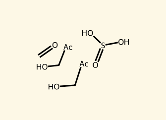 C=O.CC(=O)CO.CC(=O)CO.O=S(O)O